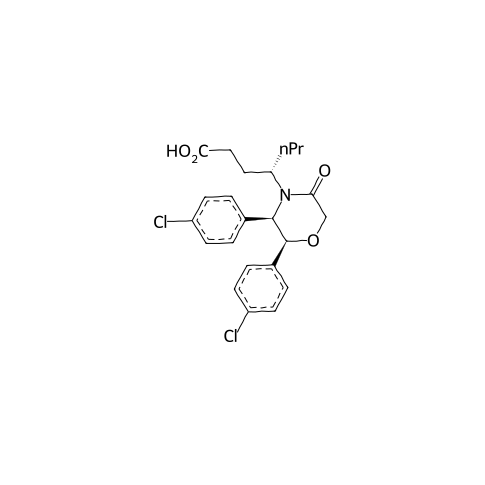 CCC[C@@H](CCC(=O)O)N1C(=O)CO[C@@H](c2ccc(Cl)cc2)[C@H]1c1ccc(Cl)cc1